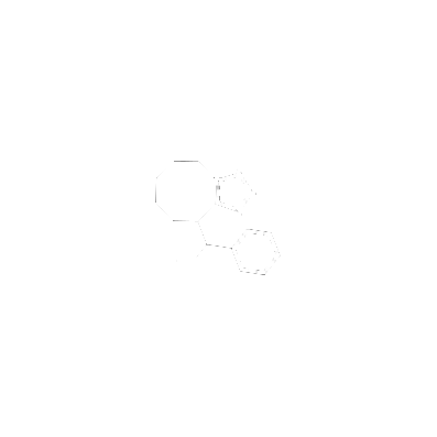 CC(=O)OC(c1ccccc1)C1CCCCCn2nnnc21